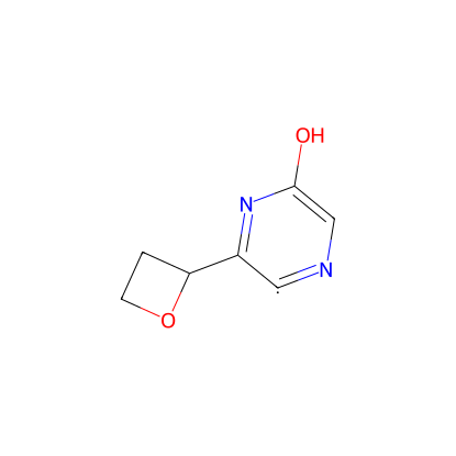 Oc1cn[c]c(C2CCO2)n1